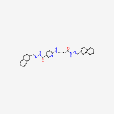 O=C(CCCNc1ccc(C(=O)NN=Cc2ccc3ccccc3c2)cn1)NN=Cc1ccc2ccccc2c1